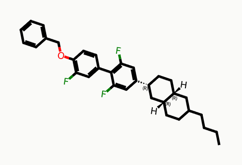 CCCCC1CC[C@@H]2C[C@H](c3cc(F)c(-c4ccc(OCc5ccccc5)c(F)c4)c(F)c3)CC[C@@H]2C1